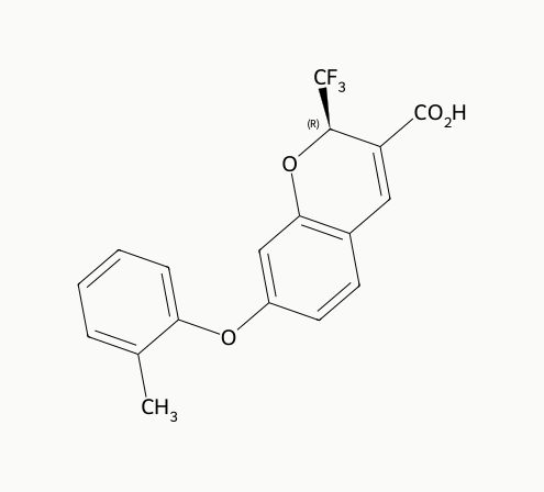 Cc1ccccc1Oc1ccc2c(c1)O[C@@H](C(F)(F)F)C(C(=O)O)=C2